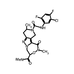 CNC(=O)C1Cn2nc3c(c2C(=O)N(C)O1)CN(C(=O)Nc1cc(Cl)c(F)cc1F)C(C)C3